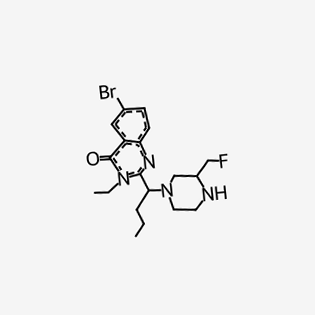 CCCC(c1nc2ccc(Br)cc2c(=O)n1CC)N1CCNC(CF)C1